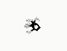 CC1C(C)(C)C2C=CC1(C)C2(C)C